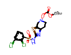 CC(C)(C)OC(=O)ON1CCc2nc(NS(=O)(=O)c3cccc(Cl)c3Cl)sc2C1